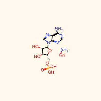 NO.Nc1ncnc2c1ncn2[C@@H]1O[C@H](COP(=O)(O)O)[C@@H](O)[C@H]1O